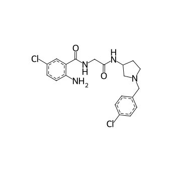 Nc1ccc(Cl)cc1C(=O)NCC(=O)NC1CCN(Cc2ccc(Cl)cc2)C1